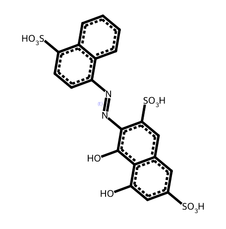 O=S(=O)(O)c1cc(O)c2c(O)c(/N=N/c3ccc(S(=O)(=O)O)c4ccccc34)c(S(=O)(=O)O)cc2c1